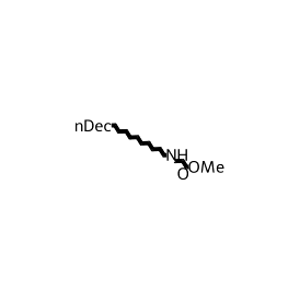 CCCCCCCCCCCCCCCCCCCCNCCC(=O)OC